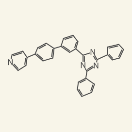 c1ccc(-c2nc(-c3ccccc3)nc(-c3cccc(-c4ccc(-c5ccncc5)cc4)c3)n2)cc1